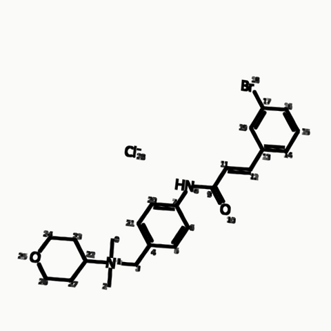 C[N+](C)(Cc1ccc(NC(=O)C=Cc2cccc(Br)c2)cc1)C1CCOCC1.[Cl-]